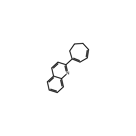 C1=CCCCC(c2ccc3ccccc3n2)=C1